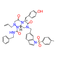 C=CCN1CC(=O)N2[C@@H](Cc3ccc(O)cc3)C(=O)N(Cc3ccc4ccn(S(=O)(=O)c5ccc(C)cc5)c4c3)C[C@@H]2N1C(=O)NCc1ccccc1